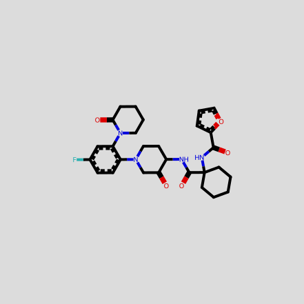 O=C(NC1(C(=O)NC2CCN(c3ccc(F)cc3N3CCCCC3=O)CC2=O)CCCCC1)c1ccco1